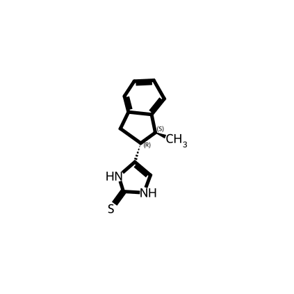 C[C@@H]1c2ccccc2C[C@H]1c1c[nH]c(=S)[nH]1